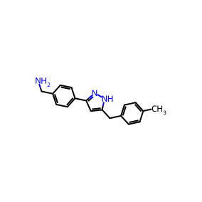 Cc1ccc(Cc2cc(-c3ccc(CN)cc3)n[nH]2)cc1